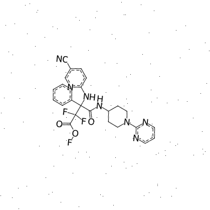 N#Cc1ccc(NC(C(=O)NC2CCN(c3ncccn3)CC2)(c2ccccc2)C(F)(F)C(=O)OF)nc1